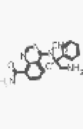 CN(c1ncnc2c(C(N)=O)cccc12)[C@](C)(CN)c1ccccc1